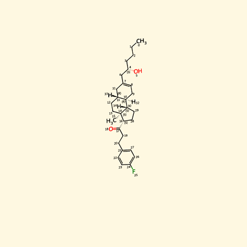 CCCC[C@H](O)CC1=CC[C@@H]2[C@H](CC[C@]3(C)[C@@H](C(=O)CCc4ccc(F)cc4)CC[C@@H]23)C1